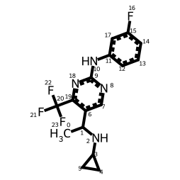 CC(NC1CC1)c1cnc(Nc2cccc(F)c2)nc1C(F)(F)F